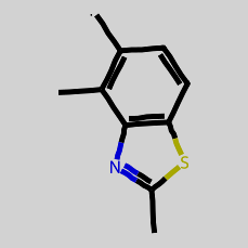 [CH2]c1ccc2sc(C)nc2c1C